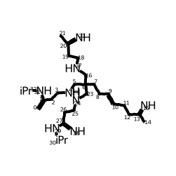 C=C(CCNCC(CC/C=C/CCC(C)=N)(CNCCC(C)=N)CNCCC(=N)NC(C)C)NC(C)C